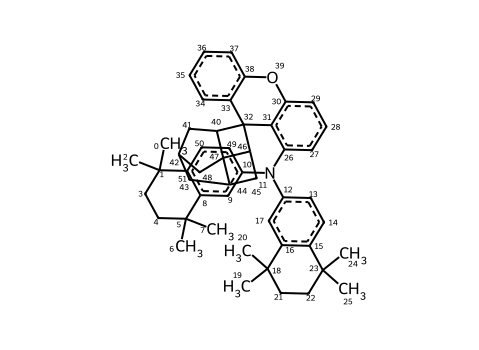 CC1(C)CCC(C)(C)c2cc(N(c3ccc4c(c3)C(C)(C)CCC4(C)C)c3cccc4c3C3(c5ccccc5O4)C4CC5CC6CC3C64C5)ccc21